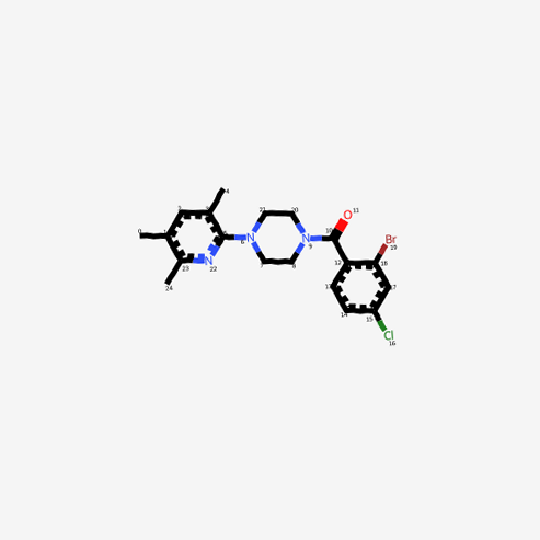 Cc1cc(C)c(N2CCN(C(=O)c3ccc(Cl)cc3Br)CC2)nc1C